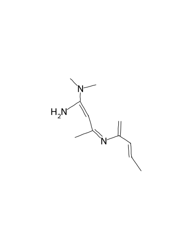 C=C(/C=C/C)/N=C(C)\C=C(/N)N(C)C